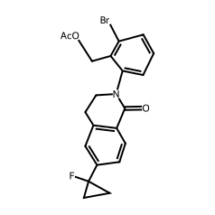 CC(=O)OCc1c(Br)cccc1N1CCc2cc(C3(F)CC3)ccc2C1=O